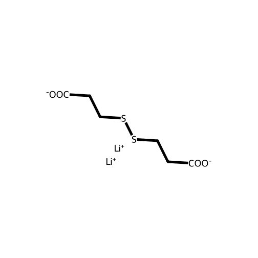 O=C([O-])CCSSCCC(=O)[O-].[Li+].[Li+]